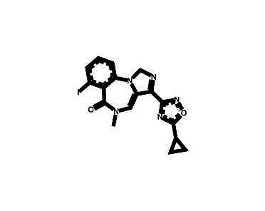 CN1C=C2C(c3noc(C4CC4)n3)=NCN2c2cccc(I)c2C1=O